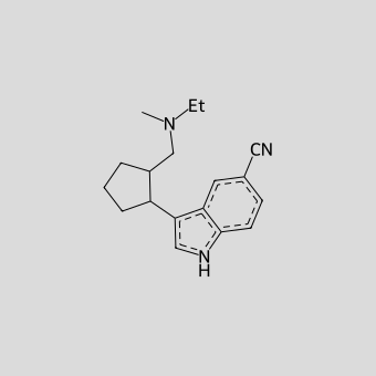 CCN(C)CC1CCCC1c1c[nH]c2ccc(C#N)cc12